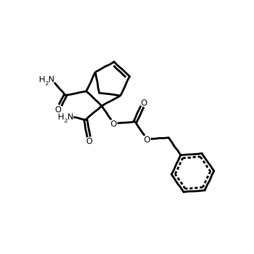 NC(=O)C1C2C=CC(C2)C1(OC(=O)OCc1ccccc1)C(N)=O